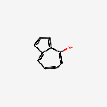 Oc1ccccc2cccc1-2